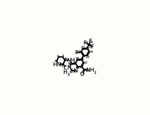 C[C@H]1NCCC[C@H]1Nc1ncnc2c(C(N)=O)cc(-c3ccc(C(F)(F)F)cc3F)cc12